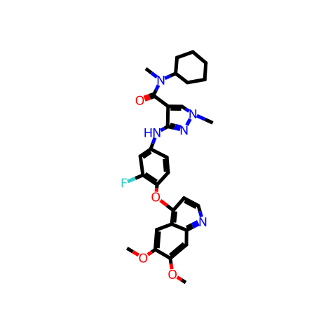 COc1cc2nccc(Oc3ccc(Nc4nn(C)cc4C(=O)N(C)C4CCCCC4)cc3F)c2cc1OC